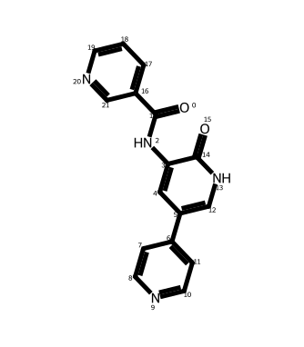 O=C(Nc1cc(-c2ccncc2)c[nH]c1=O)c1cccnc1